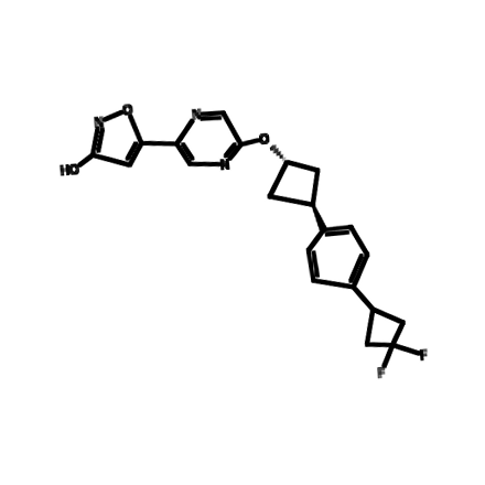 Oc1cc(-c2cnc(O[C@H]3C[C@H](c4ccc(C5CC(F)(F)C5)cc4)C3)cn2)on1